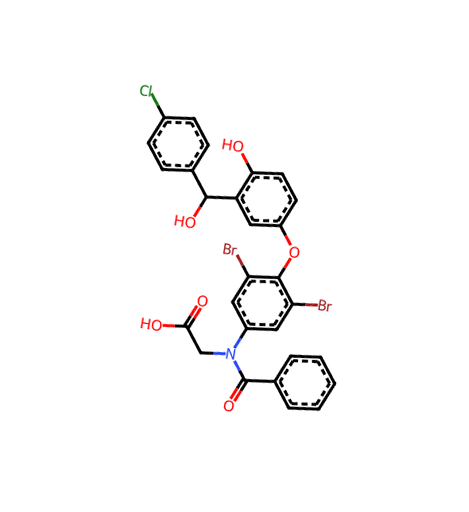 O=C(O)CN(C(=O)c1ccccc1)c1cc(Br)c(Oc2ccc(O)c(C(O)c3ccc(Cl)cc3)c2)c(Br)c1